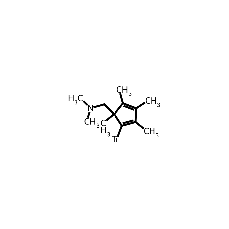 CC1=C(C)C(C)(CN(C)C)[C]([Ti])=C1C